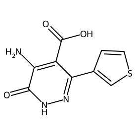 Nc1c(C(=O)O)c(-c2ccsc2)n[nH]c1=O